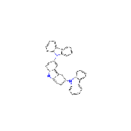 C1=C2N=c3ccc(-n4c5ccccc5c5ccccc54)cc3=C2CC(n2c3ccccc3c3ccccc32)=C1